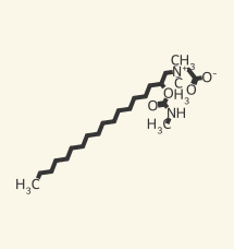 CCCCCCCCCCCCCCCCC(C[N+](C)(C)CC(=O)[O-])OC(=O)NC